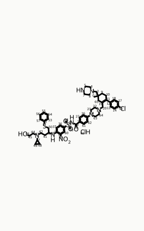 CC1(CN2CCNCC2)CCC(c2ccc(Cl)cc2)=C(CN2CCN(c3ccc(C(=O)NS(=O)(=O)c4ccc(NC(CCN(CCO)C5CC5)CSc5ccccc5)c([N+](=O)[O-])c4)cc3)CC2)C1.Cl